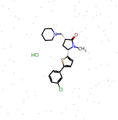 CN1C(=O)[C@@H](CN2CCCCC2)C[C@H]1c1ccc(-c2cccc(Cl)c2)s1.Cl